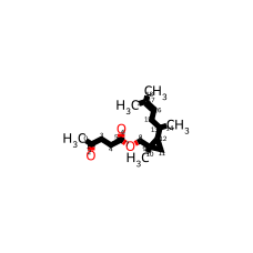 CC(=O)CCC(=O)OCC1(C)CC1C(C)CC=C(C)C